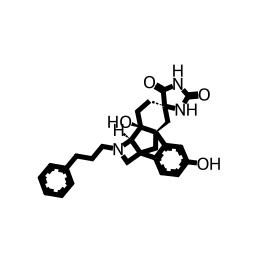 O=C1NC(=O)[C@@]2(CC[C@@]3(O)[C@@H]4N(CCCc5ccccc5)CC45C[C@@]3(C2)c2cc(O)ccc25)N1